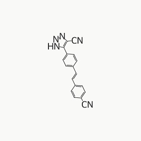 N#Cc1ccc(C=Cc2ccc(-c3[nH]nnc3C#N)cc2)cc1